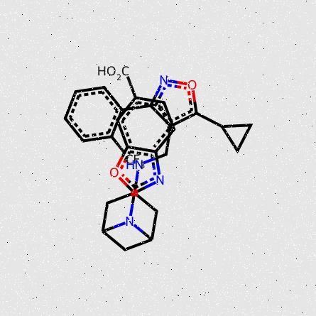 O=C(O)c1ccc2nc(N3C4CC(NCc5c(-c6ccccc6C(F)(F)F)noc5C5CC5)CC3C4)oc2c1